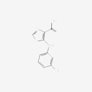 O=C(O)c1ncsc1Nc1cccc(Cl)c1